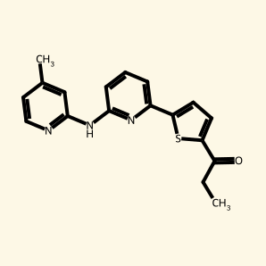 CCC(=O)c1ccc(-c2cccc(Nc3cc(C)ccn3)n2)s1